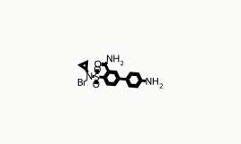 NC(=O)c1cc(-c2ccc(N)cc2)ccc1S(=O)(=O)N(Br)C1CC1